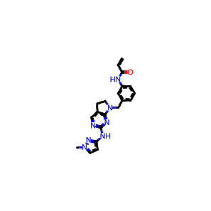 C=CC(=O)Nc1cccc(CN2CCc3cnc(Nc4ccn(C)n4)nc32)c1